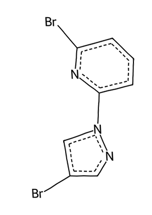 Brc1cnn(-c2cccc(Br)n2)c1